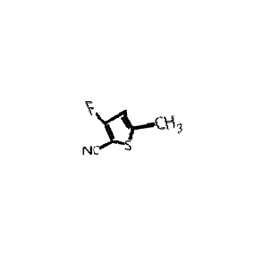 Cc1cc(F)c(C#N)s1